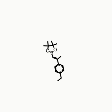 CCc1ccc(C(C)=CB2OC(C)(C)C(C)(C)O2)cc1